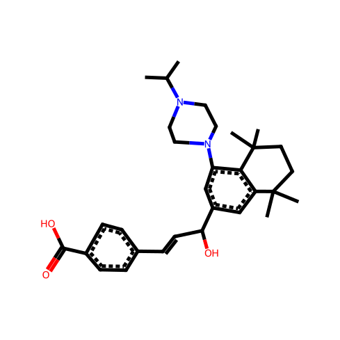 CC(C)N1CCN(c2cc(C(O)/C=C/c3ccc(C(=O)O)cc3)cc3c2C(C)(C)CCC3(C)C)CC1